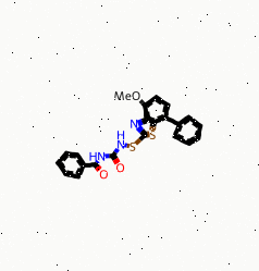 COc1ccc(-c2ccccc2)c2sc(SNC(=O)NC(=O)c3ccccc3)nc12